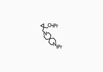 CC(C)OCC1(CN2CCC3(CC2)CCN(C(C)C)CC3)CC1